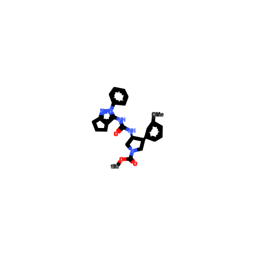 COc1cccc([C@H]2CN(C(=O)OC(C)(C)C)C[C@@H]2NC(=O)Nc2c3c(nn2-c2ccccc2)CCC3)c1